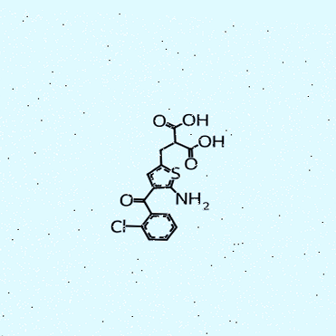 Nc1sc(CC(C(=O)O)C(=O)O)cc1C(=O)c1ccccc1Cl